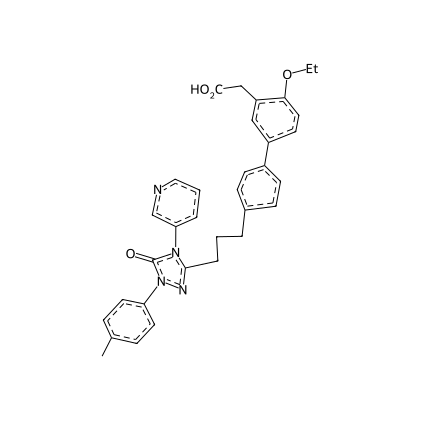 CCOc1ccc(-c2ccc(CCCc3nn(-c4ccc(C)cc4)c(=O)n3-c3cccnc3)cc2)cc1CC(=O)O